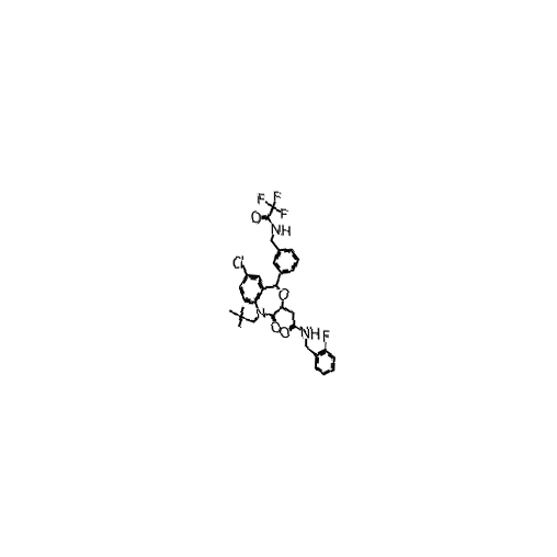 CC(C)(C)CN1C(=O)C(CC(=O)NCc2ccccc2F)OC(c2cccc(CNC(=O)C(F)(F)F)c2)c2cc(Cl)ccc21